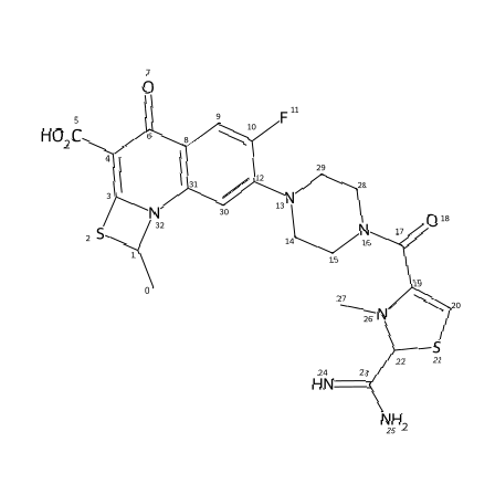 CC1Sc2c(C(=O)O)c(=O)c3cc(F)c(N4CCN(C(=O)C5=CSC(C(=N)N)N5C)CC4)cc3n21